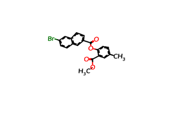 COC(=O)c1cc(C)ccc1OC(=O)c1ccc2cc(Br)ccc2c1